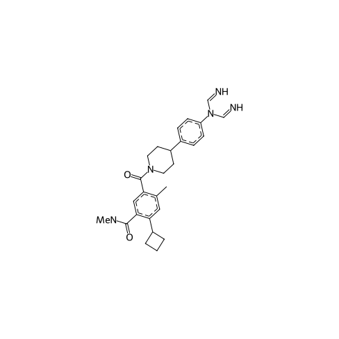 CNC(=O)c1cc(C(=O)N2CCC(c3ccc(N(C=N)C=N)cc3)CC2)c(C)cc1C1CCC1